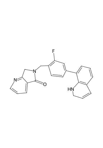 O=C1c2cccnc2CN1Cc1ccc(-c2cccc3c2NCC=C3)cc1F